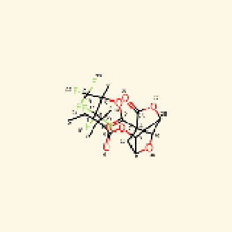 CCC(C)(C)C(=O)OC1C2CC3(C(=O)OC(C)(C(F)(F)F)C(F)(F)F)C(=O)OC1C3O2